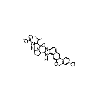 COC(=O)N[C@H](C(=O)N1[C@@H](C)CC[C@H]1c1nc2ccc3cc4c(cc3c2[nH]1)OCc1cc(Cl)ccc1-4)C(C)C